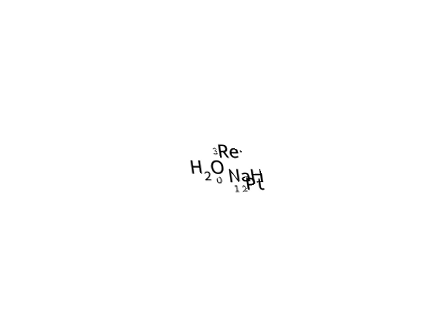 O.[NaH].[Pt].[Re]